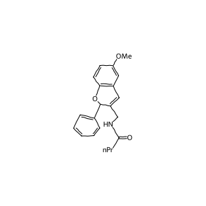 CCCC(=O)NCC1=Cc2cc(OC)ccc2OC1c1ccccc1